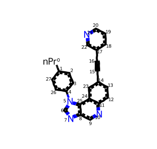 [CH2]CCc1ccc(-n2cnc3cnc4ccc(C#Cc5cccnc5)cc4c32)cc1